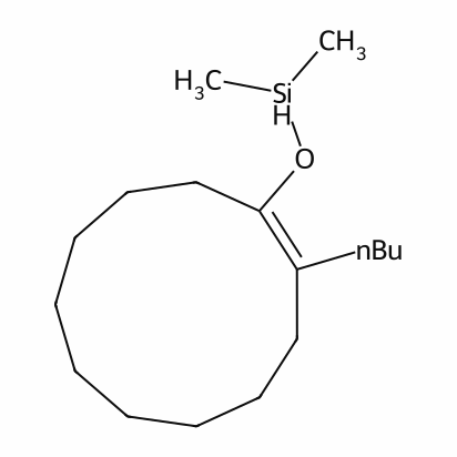 CCCCC1=C(O[SiH](C)C)CCCCCCCCC1